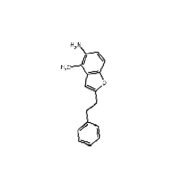 Cc1c(N)ccc2oc(CCc3ccccc3)cc12